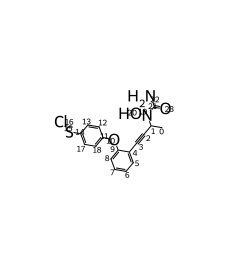 CC(C#Cc1ccccc1Oc1ccc(SCl)cc1)N(O)C(N)=O